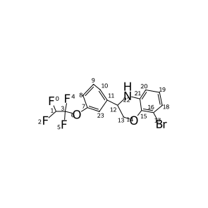 FC(F)C(F)(F)Oc1cccc(C2COc3c(Br)cccc3N2)c1